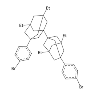 CCC12CC3(CC)CC(c4ccc(Br)cc4)(C1)CC(C14CC5(CC)CC(CC)(CC(c6ccc(Br)cc6)(C5)C1)C4)(C2)C3